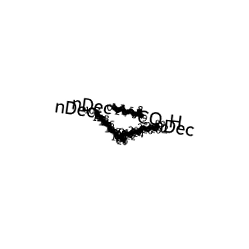 CCCCCCCCCCCCCCCCC(C)C(=O)O.CCCCCCCCCCCCCCCCCCN(C)CCCCCCCCCCCCCCCCCC